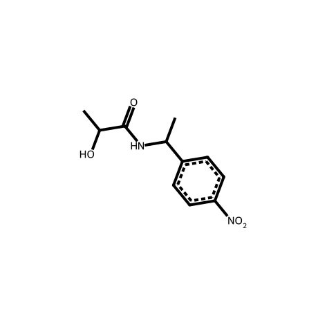 CC(O)C(=O)NC(C)c1ccc([N+](=O)[O-])cc1